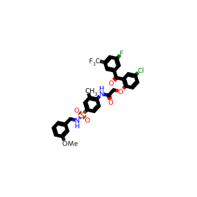 COc1cccc(CNS(=O)(=O)c2ccc(NC(=O)COc3ccc(Cl)cc3C(=O)c3cc(F)cc(C(F)(F)F)c3)c(C)c2)c1